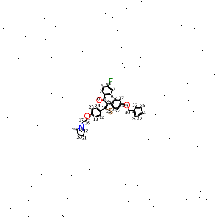 O=C(c1ccc(F)cc1)c1c(-c2ccc(OCCN3CCCC3)cc2)sc2cc(OCc3ccccc3)ccc12